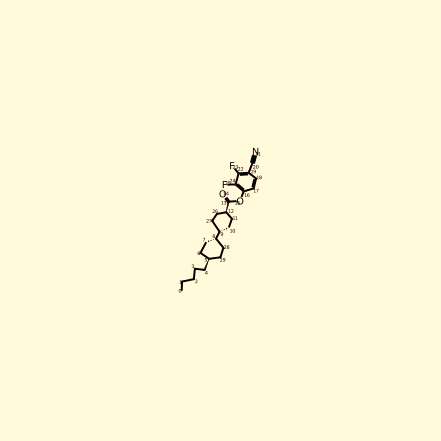 CCCCC[C@H]1CC[C@H]([C@H]2CC[C@H](C(=O)Oc3ccc(C#N)c(F)c3F)CC2)CC1